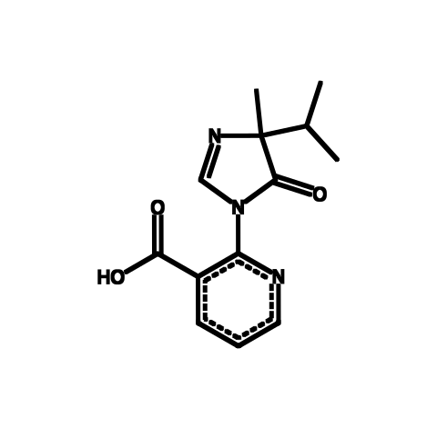 CC(C)C1(C)N=CN(c2ncccc2C(=O)O)C1=O